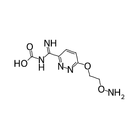 N=C(NC(=O)O)c1ccc(OCCON)nn1